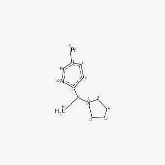 CC(C)c1ccc(C(C)N2CCCC2)nc1